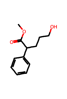 COC(=O)C(CCCO)c1ccccc1